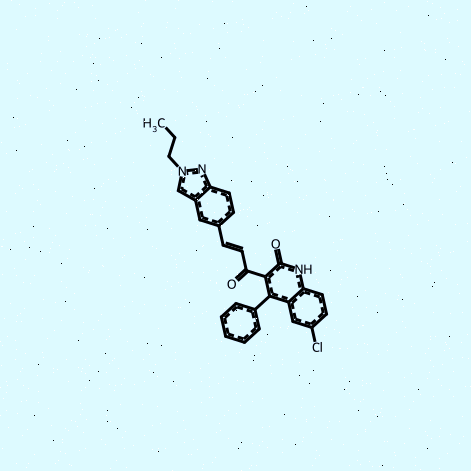 CCCn1cc2cc(/C=C/C(=O)c3c(-c4ccccc4)c4cc(Cl)ccc4[nH]c3=O)ccc2n1